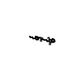 CCCCc1ccc(NC(=O)CCCCN2C(=O)c3ccccc3C2=O)cc1